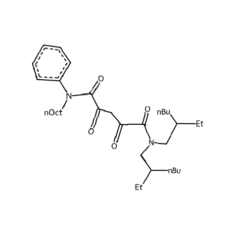 CCCCCCCCN(C(=O)C(=O)CC(=O)C(=O)N(CC(CC)CCCC)CC(CC)CCCC)c1ccccc1